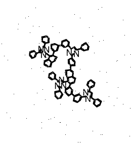 c1ccc(-c2cc(-c3cccc(-c4cccc(-c5ccc6ccccc6c5-c5nc(-c6ccccc6)nc(-c6ccccc6)n5)c4)c3)nc(-c3ccc(-c4ccc5c(-c6nc(-c7ccccc7)nc(-c7ccccc7)n6)c(-c6cccc(-c7cccc(-c8nc(-c9ccccc9)cc(-c9ccccc9)n8)c7)c6)ccc5c4)cc3)n2)cc1